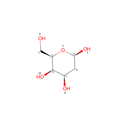 OC[C@H]1O[C@@H](O)C[C@@H](O)[C@H]1O